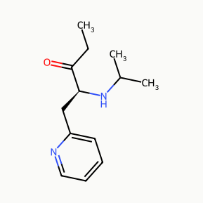 CCC(=O)[C@H](Cc1ccccn1)NC(C)C